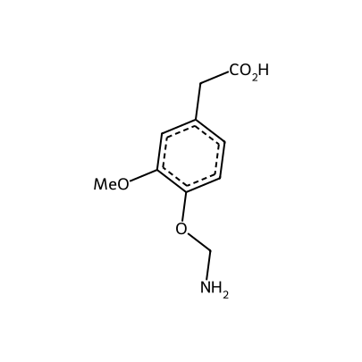 COc1cc(CC(=O)O)ccc1OCN